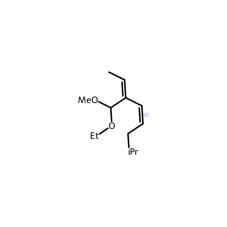 CC=C(/C=C\CC(C)C)C(OC)OCC